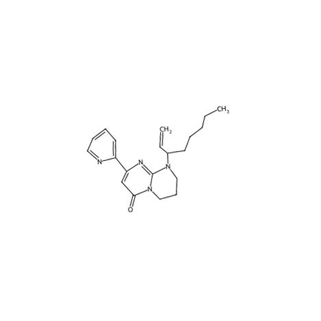 C=CC(CCCCC)N1CCCn2c1nc(-c1ccccn1)cc2=O